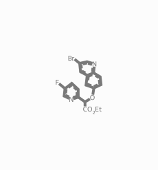 CCOC(=O)C(Oc1ccc2ncc(Br)cc2c1)c1ccc(F)cn1